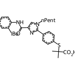 CCCCCn1cc(C(=O)Nc2ccccc2C(C)CC)nc1-c1ccc(SC(C)(C)C(=O)O)cc1